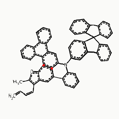 C=C/C=C\c1c(C)oc2ccc(-c3ccccc3N(c3ccc4c(c3)-c3ccccc3C43c4ccccc4-c4ccccc43)c3ccc4c5ccccc5c5ccccc5c4c3)cc12